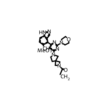 C=CC(=O)N1CC2(CCN(c3nc(N4CCOCC4)nc(-c4c(C)ccc5[nH]ncc45)c3OC)C2)C1